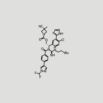 CC(C)(C)CCNC(=N)N(C(=O)c1ccc(-c2cnn(C(F)F)c2)cc1)[C@H](COC(=O)N1CC(C)(C#N)C1)c1ccc(Cl)c(-c2ncn[nH]2)c1